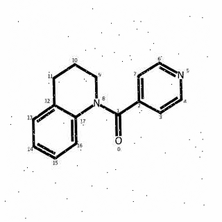 O=C(c1ccncc1)N1CCCc2ccccc21